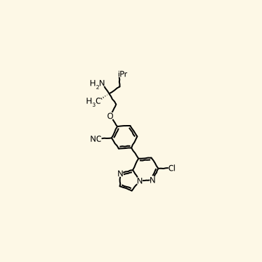 CC(C)C[C@](C)(N)COc1ccc(-c2cc(Cl)nn3ccnc23)cc1C#N